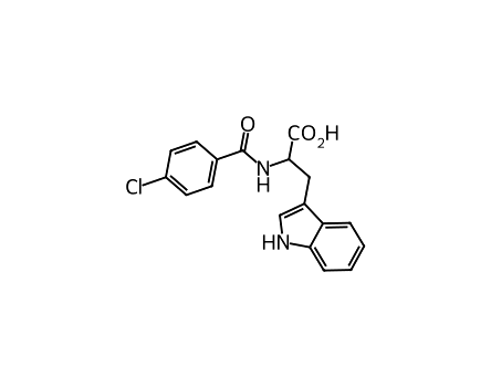 O=C(NC(Cc1c[nH]c2ccccc12)C(=O)O)c1ccc(Cl)cc1